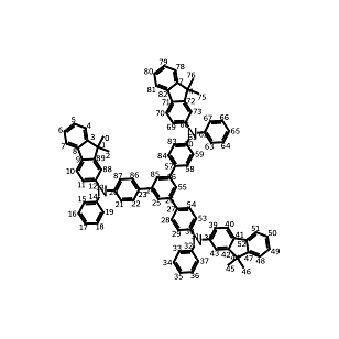 CC1(C)c2ccccc2-c2ccc(N(c3ccccc3)c3ccc(-c4cc(-c5ccc(N(c6ccccc6)c6ccc7c(c6)C(C)(C)c6ccccc6-7)cc5)cc(-c5ccc(N(c6ccccc6)c6ccc7c(c6)C(C)(C)c6ccccc6-7)cc5)c4)cc3)cc21